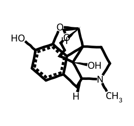 CN1CCC23c4c5ccc(O)c4O[C@H]2COCCC[C@@]3(O)[C@H]1C5